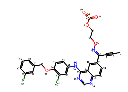 CC#CC(=NOCCO[SH](=O)=O)c1ccc2ncnc(Nc3ccc(OCc4cccc(F)c4)c(Cl)c3)c2c1